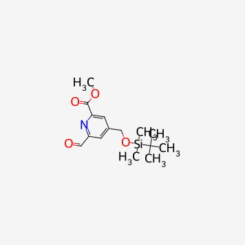 COC(=O)c1cc(CO[Si](C)(C)C(C)(C)C)cc(C=O)n1